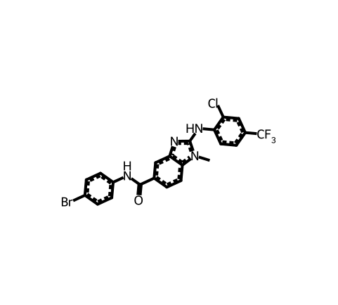 Cn1c(Nc2ccc(C(F)(F)F)cc2Cl)nc2cc(C(=O)Nc3ccc(Br)cc3)ccc21